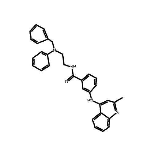 Cc1cc(Nc2cccc(C(=O)NCCN(Cc3ccccc3)c3ccccc3)c2)c2ccccc2n1